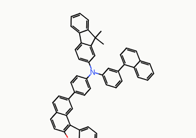 CC1(C)c2ccccc2-c2ccc(N(c3ccc(-c4ccc5ccc6oc7ccccc7c6c5c4)cc3)c3cccc(-c4cccc5ccccc45)c3)cc21